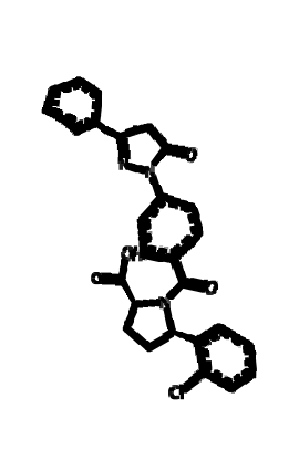 O=C(O)[C@@H]1CC[C@H](c2ccccc2Cl)N1C(=O)c1ccc(N2N=C(c3ccccc3)CC2=O)cc1